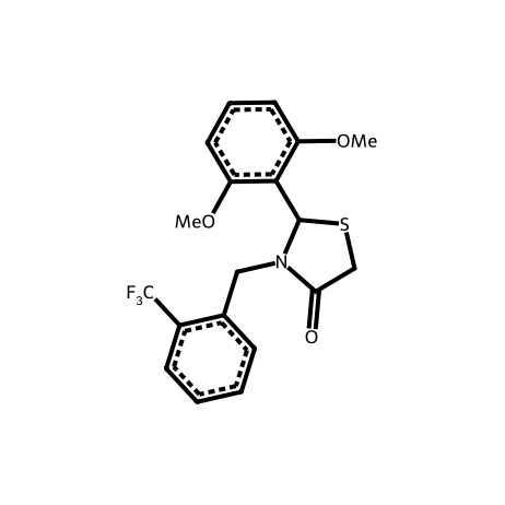 COc1cccc(OC)c1C1SCC(=O)N1Cc1ccccc1C(F)(F)F